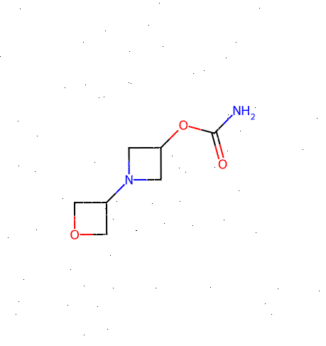 NC(=O)OC1CN(C2COC2)C1